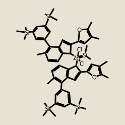 Cc1cc(C2=Cc3c(ccc(C)c3-c3cc([Si](C)(C)C)cc([Si](C)(C)C)c3)[CH]2[Zr]([Cl])([Cl])([CH]2C(c3cc(C)c(C)o3)=Cc3c2ccc(C)c3-c2cc([Si](C)(C)C)cc([Si](C)(C)C)c2)=[Si](C)C)oc1C